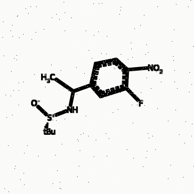 CC(N[S@@+]([O-])C(C)(C)C)c1ccc([N+](=O)[O-])c(F)c1